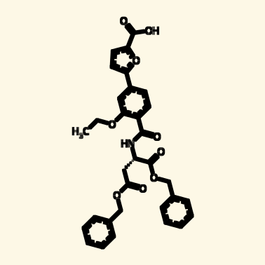 CCOc1cc(-c2ccc(C(=O)O)o2)ccc1C(=O)N[C@@H](CC(=O)OCc1ccccc1)C(=O)OCc1ccccc1